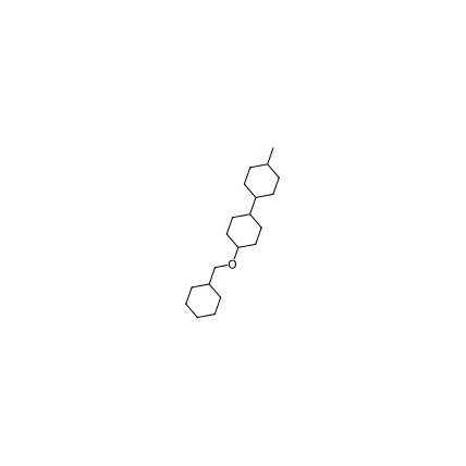 CC1CCC(C2CCC(OCC3CCCCC3)CC2)CC1